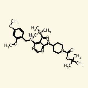 COc1ccc(CNc2ncnc3c2[c]([Sn]([CH3])([CH3])[CH3])nn3C2CCN(C(=O)OC(C)(C)C)CC2)c(OC)c1